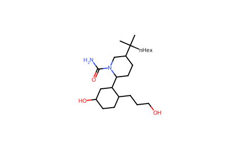 CCCCCCC(C)(C)C1CCC(C2CC(O)CCC2CCCO)N(C(N)=O)C1